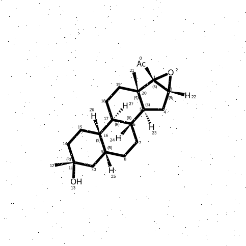 CC(=O)[C@@]12O[C@@H]1C[C@H]1[C@@H]3CC[C@@H]4C[C@](C)(O)CC[C@@H]4[C@H]3CC[C@@]12C